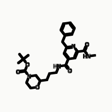 CNC(=O)c1cc(C(=O)NCCCC2CN(C(=O)OC(C)(C)C)CCO2)cc(Cc2ccccc2)n1